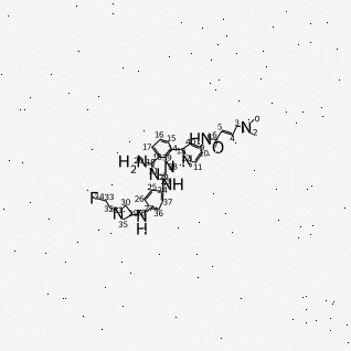 CN(C)C/C=C/C(=O)Nc1ccnc(-c2cccc3c(N)nc(Nc4ccc(NC5CN(CCF)C5)cc4)nc23)c1